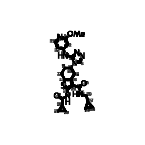 COc1cc(Nc2nncn2[C@H]2CCc3sc(NC(=O)C4CC4)c(C(=O)NCC4CC4)c3C2)ccn1